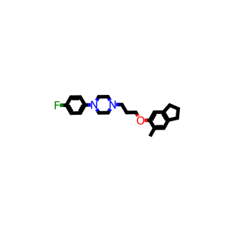 Cc1cc2c(cc1OCCCN1CCN(c3ccc(F)cc3)CC1)CCC2